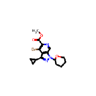 COC(=O)c1ncc2c(c(C3CC3)nn2C2CCCCO2)c1Br